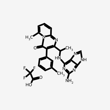 Cc1cccc(-c2c(C(C)Nc3nc(N)nc4[nH]cnc34)nc3cccc(C)n3c2=O)c1.O=C(O)C(F)(F)F